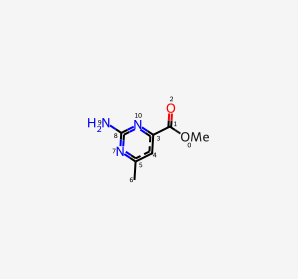 COC(=O)c1cc(C)nc(N)n1